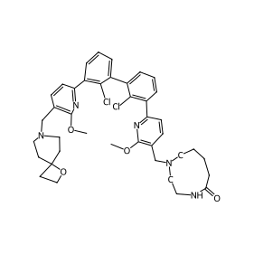 COc1nc(-c2cccc(-c3cccc(-c4ccc(CN5CCC6(CCO6)CC5)c(OC)n4)c3Cl)c2Cl)ccc1CN1CCCCC(=O)NCC1